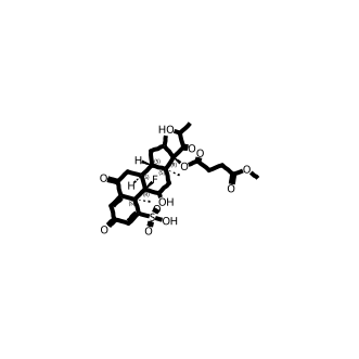 COC(=O)CCC(=O)O[C@]1(C(=O)C(C)O)C(C)C[C@H]2[C@@H]3CC(=O)C4=CC(=O)C=C(S(=O)(=O)O)[C@]4(C)[C@@]3(F)C(O)C[C@@]21C